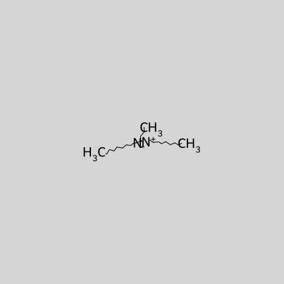 CCCCCCCCCn1cc[n+](CCCCCCCCC)c1CCC